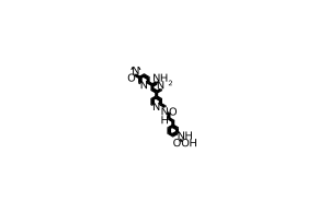 CN(C)C(=O)c1ccc(-c2cc(-c3ccnc(CNC(=O)CCc4cccc(NC(=O)O)c4)c3)cnc2N)nc1